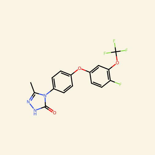 Cc1n[nH]c(=O)n1-c1ccc(Oc2ccc(F)c(OC(F)(F)F)c2)cc1